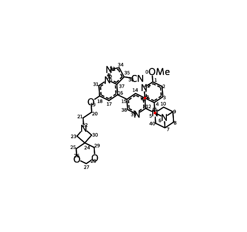 COc1ccc(CN2C3CC2CN(c2ccc(-c4cc(OCCN5CC6(COCOC6)C5)cn5ncc(C#N)c45)cn2)C3)cn1